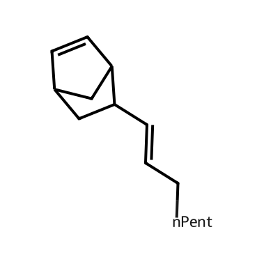 CCCCCC/C=C/C1CC2C=CC1C2